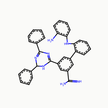 N=C(N)c1cc(C2=NC(c3ccccc3)=NC(c3ccccc3)N2)cc(-c2ccccc2Nc2ccccc2N)c1